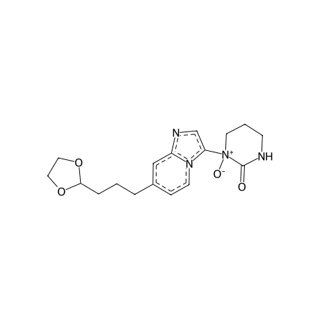 O=C1NCCC[N+]1([O-])c1cnc2cc(CCCC3OCCO3)ccn12